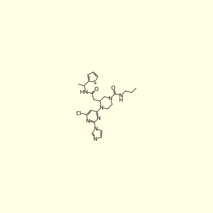 CCCNC(=O)N1CCN(c2cc(Cl)nc(-n3ccnc3)n2)C(CC(=O)NC(C)c2cccs2)C1